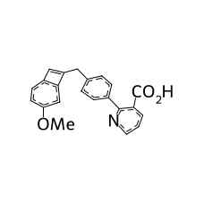 COc1ccc2c(c1)C(Cc1ccc(-c3ncccc3C(=O)O)cc1)=C2